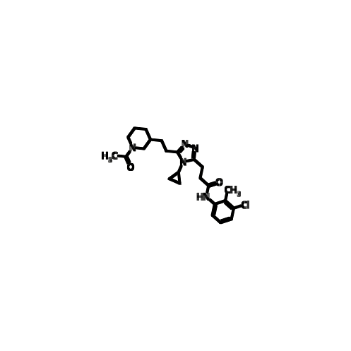 CC(=O)N1CCCC(CCc2nnc(CCC(=O)Nc3cccc(Cl)c3C)n2C2CC2)C1